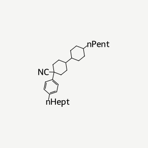 CCCCCCCc1ccc(C2(C#N)CCC(C3CCC(CCCCC)CC3)CC2)cc1